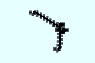 CCCCCCCCCCCCC/C=C/[C@@H](O)[C@H](CO)NC(=O)CCCCCCCCC